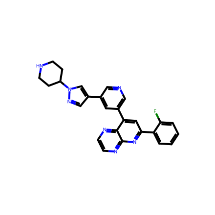 Fc1ccccc1-c1cc(-c2cncc(-c3cnn(C4CCNCC4)c3)c2)c2nccnc2n1